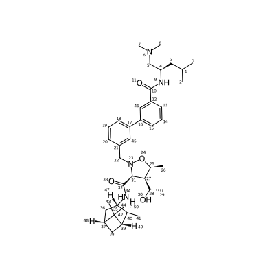 CC(C)C[C@H](CN(C)C)NC(=O)c1cccc(-c2cccc(CN3O[C@@H](C)[C@@H]([C@H](C)O)[C@H]3C(=O)N[C@H]3C[C@H]4C[C@@H]([C@@H]3C)C4(C)C)c2)c1